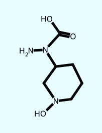 NN(C(=O)O)C1CCCN(O)C1